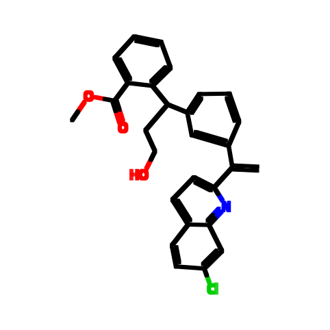 C=C(c1cccc(C(CCO)c2ccccc2C(=O)OC)c1)c1ccc2ccc(Cl)cc2n1